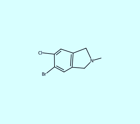 CN1Cc2cc(Cl)c(Br)cc2C1